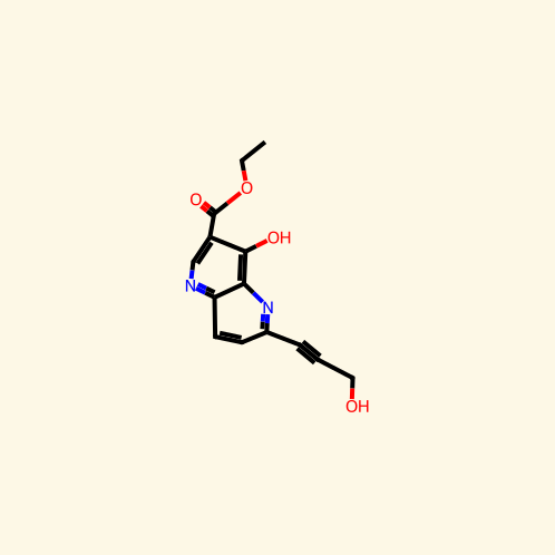 CCOC(=O)c1cnc2ccc(C#CCO)nc2c1O